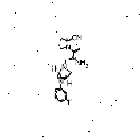 C=C([C@@H](N)CN1C[C@@H]2C[C@H]1CN2c1cccc(F)c1)N1CCC[C@H]1C#N